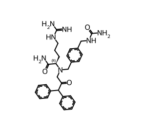 N=C(N)NCCC[C@H](C(N)=O)N(CC(=O)C(c1ccccc1)c1ccccc1)Cc1ccc(CNC(N)=O)cc1